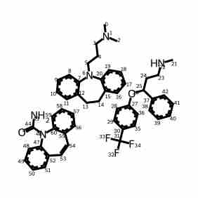 CN(C)CCCN1c2ccccc2CCc2ccccc21.CNCCC(Oc1ccc(C(F)(F)F)cc1)c1ccccc1.NC(=O)N1c2ccccc2C=Cc2ccccc21